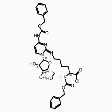 O=C(Nc1ccn([C@@H]2O[C@H](CO)[C@@H](O)[C@H]2O)c(=NCCCC[C@H](NC(=O)OCc2ccccc2)C(=O)O)n1)OCc1ccccc1